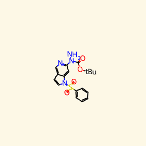 CC(C)(C)OC(=O)N(N)c1cc2c(ccn2S(=O)(=O)c2ccccc2)cn1